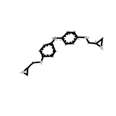 B(c1ccc(OCC2CO2)cc1)c1ccc(OCC2CO2)cc1